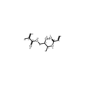 C=CC(=O)OC(C)C(O)COC(=O)C(=C)C